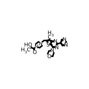 Cc1c(CN2CCN(C(=O)[C@H](C)O)CC2)sc2c(N3CCOCC3)nc(-c3cncnc3)nc12